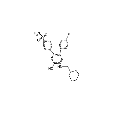 N#Cc1cc(-c2ccc(S(N)(=O)=O)cc2)c(-c2ccc(F)cc2)nc1NCC1CCCCC1